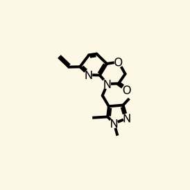 C=Cc1ccc2c(n1)N(Cc1c(C)nn(C)c1C)C(=O)CO2